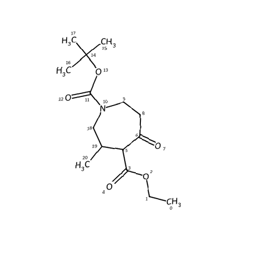 CCOC(=O)C1C(=O)CCN(C(=O)OC(C)(C)C)CC1C